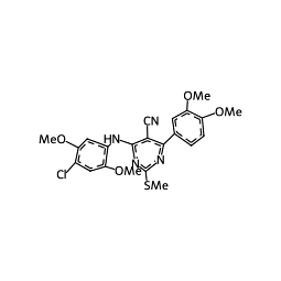 COc1cc(Nc2nc(SC)nc(-c3ccc(OC)c(OC)c3)c2C#N)c(OC)cc1Cl